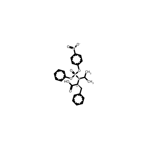 CC(C)N([C@@H](Cc1ccccc1)C(=O)O)P(=O)(Oc1ccccc1)Oc1ccc([N+](=O)[O-])cc1